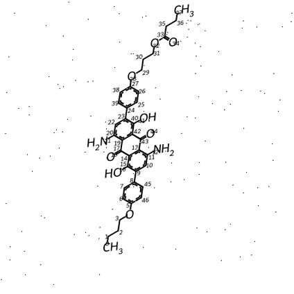 CCCCOc1ccc(-c2cc(N)c3c(c2O)C(=O)c2c(N)cc(-c4ccc(OCCCOC(=O)CCC)cc4)c(O)c2C3=O)cc1